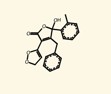 Cc1ccccc1C1(O)OC(=O)C(C2=CCOO2)=C1Cc1ccccc1